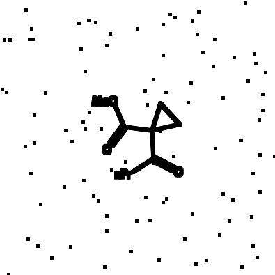 CCCC(=O)C1(C(=O)OC)CC1